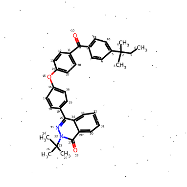 CCC(C)(C)c1ccc(C(=O)c2ccc(Oc3ccc(-c4nn(C(C)(C)C)c(=O)c5ccccc45)cc3)cc2)cc1